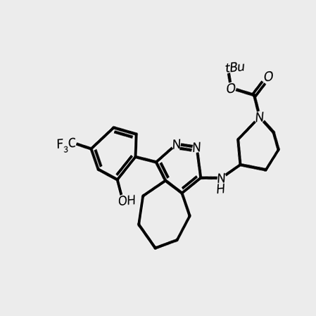 CC(C)(C)OC(=O)N1CCCC(Nc2nnc(-c3ccc(C(F)(F)F)cc3O)c3c2CCCCC3)C1